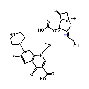 O=C(O)O[C@@H]1/C(=C/CO)O[C@@H]2CC(=O)N12.O=C(O)c1cn(C2CC2)c2cc(N3CCNCC3)c(F)cc2c1=O